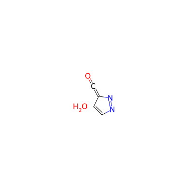 O.O=C=C1C=CN=N1